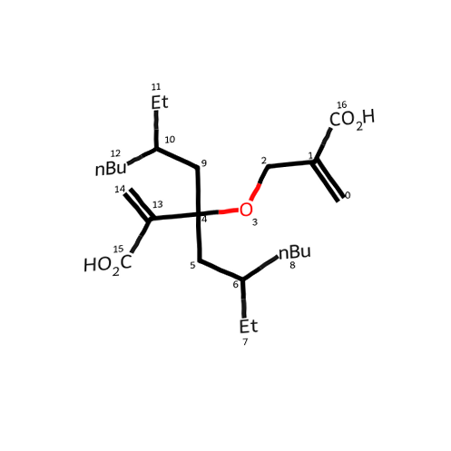 C=C(COC(CC(CC)CCCC)(CC(CC)CCCC)C(=C)C(=O)O)C(=O)O